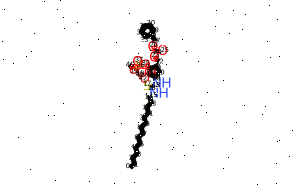 CCCCCCCCCCCCCCCNC(=S)N[C@@H]1C[C@H](COC(=O)OCc2ccccc2)C(OP(=O)(O)OC)[C@@H]1OC